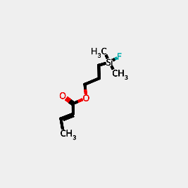 CC=CC(=O)OCCC[Si](C)(C)F